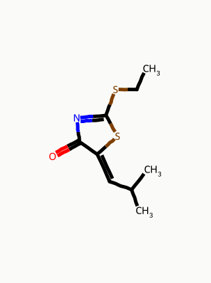 CCSC1=NC(=O)/C(=C/C(C)C)S1